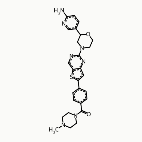 CN1CCN(C(=O)c2ccc(-c3cc4nc(N5CCOC(c6ccc(N)nc6)C5)ncc4s3)cc2)CC1